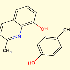 Cc1ccc(O)cc1.Cc1ccc2cccc(O)c2n1